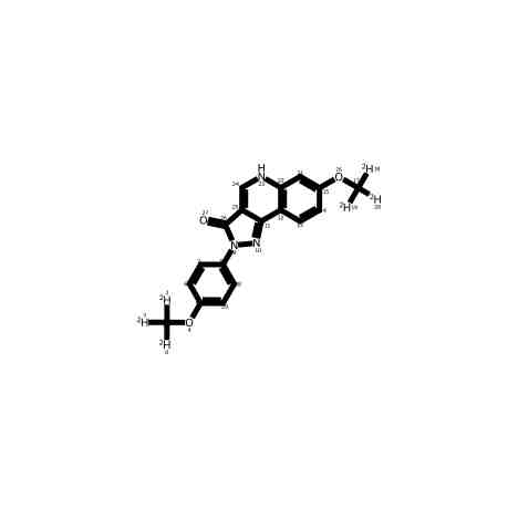 [2H]C([2H])([2H])Oc1ccc(-n2nc3c4ccc(OC([2H])([2H])[2H])cc4[nH]cc-3c2=O)cc1